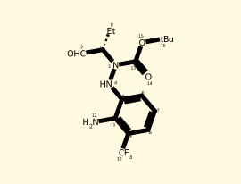 CC[C@@H](C=O)N(Nc1cccc(C(F)(F)F)c1N)C(=O)OC(C)(C)C